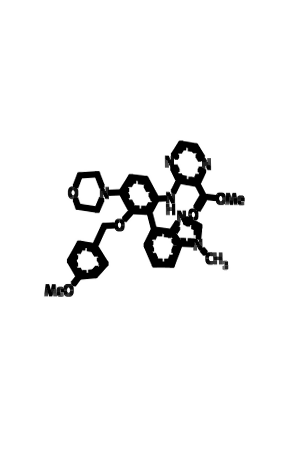 COC(=O)c1nccnc1Nc1ccc(N2CCOCC2)c(OCc2ccc(OC)cc2)c1-c1cccc2c1ncn2C